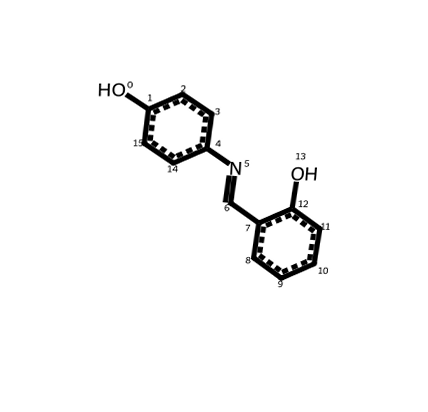 Oc1ccc(N=Cc2ccccc2O)cc1